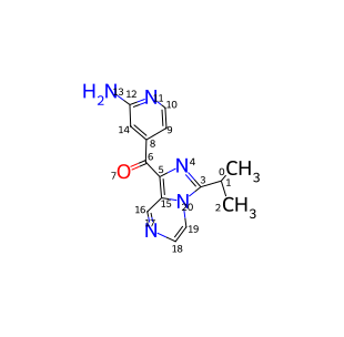 CC(C)c1nc(C(=O)c2ccnc(N)c2)c2cnccn12